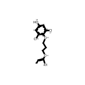 CC=C(CC)OCCCOc1c(Cl)cc(O)cc1Cl